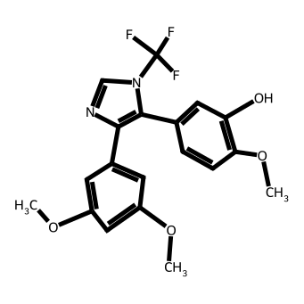 COc1cc(OC)cc(-c2ncn(C(F)(F)F)c2-c2ccc(OC)c(O)c2)c1